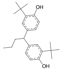 CCCC(c1ccc(O)c(C(C)(C)C)c1)c1ccc(O)c(C(C)(C)C)c1